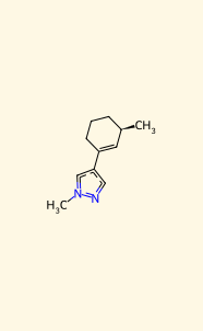 C[C@H]1C=C(c2cnn(C)c2)CCC1